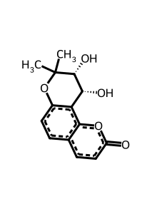 CC1(C)Oc2ccc3ccc(=O)oc3c2[C@@H](O)[C@H]1O